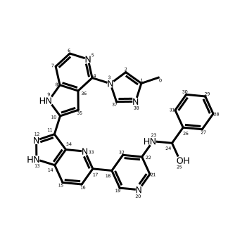 Cc1cn(-c2nccc3[nH]c(-c4n[nH]c5ccc(-c6cncc(NC(O)c7ccccc7)c6)nc45)cc23)cn1